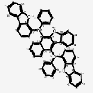 c1ccc(N(c2cccc3c2oc2ccccc23)c2c3ccccc3c(N(c3ccccc3)c3cccc4c3oc3ccccc34)c3c2oc2ccccc23)cc1